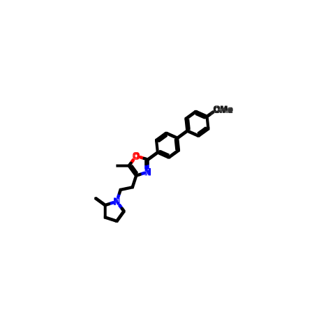 COc1ccc(-c2ccc(-c3nc(CCN4CCCC4C)c(C)o3)cc2)cc1